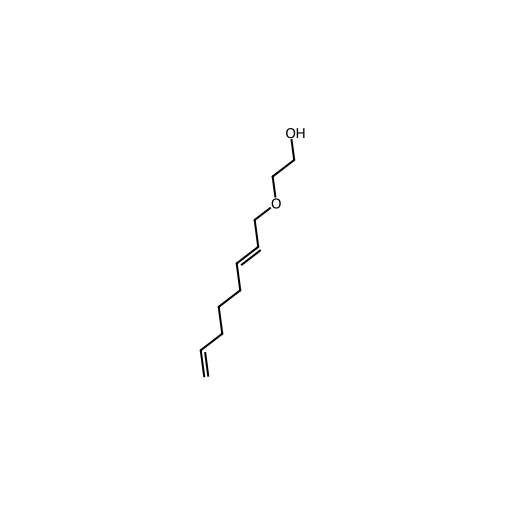 C=CCCC/C=C/COCCO